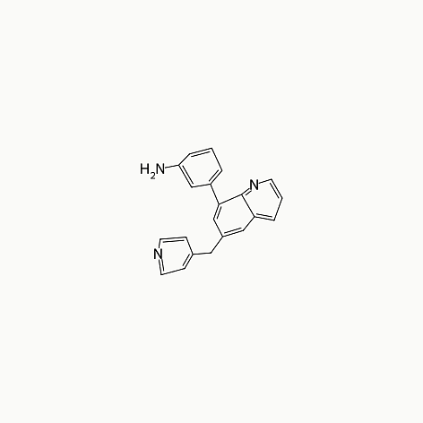 Nc1cccc(-c2cc(Cc3ccncc3)cc3cccnc23)c1